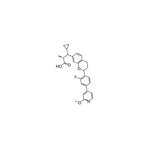 COc1cc(-c2ccc(C3CCc4ccc(C(C5CC5)[C@H](C)C(=O)O)cc4O3)c(F)c2)ccn1